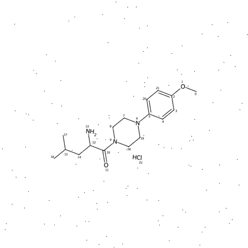 COc1ccc(N2CCN(C(=O)C(N)CC(C)C)CC2)cc1.Cl